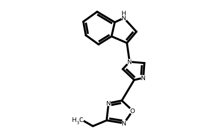 CCc1noc(-c2cn(-c3c[nH]c4ccccc34)cn2)n1